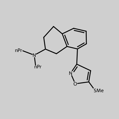 CCCN(CCC)C1CCc2cccc(-c3cc(SC)on3)c2C1